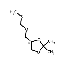 CSCOC[C@@H]1COC(C)(C)O1